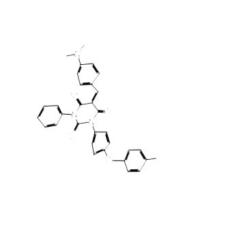 Cc1ccc(Oc2ccc(N3C(=O)/C(=C/c4ccc(N(C)C)cc4)C(=O)N(c4ccccc4)C3=S)cc2)cc1